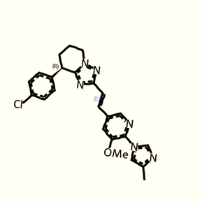 COc1cc(/C=C/c2nc3n(n2)CCC[C@@H]3c2ccc(Cl)cc2)cnc1-n1cnc(C)c1